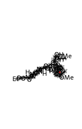 C=C[C@@H](C)C[C@@H](C)C(=O)[C@H](OC)[C@H](O)/C(C)=C/[C@@H](C)C(=O)C[C@H](OC(=O)[C@@H]1CCCCN1C(=O)C(=O)[C@]1(O)O[C@H](C[C@H](OC)/C(C)=C/C=C/C)CC[C@H]1C)[C@H](N)C[C@@H]1CC[C@@H](OC(=O)NCc2cnc(N3CCN(c4ncc(C(=O)NCCOCCOCC)cn4)CC3)nc2)[C@H](OC)C1